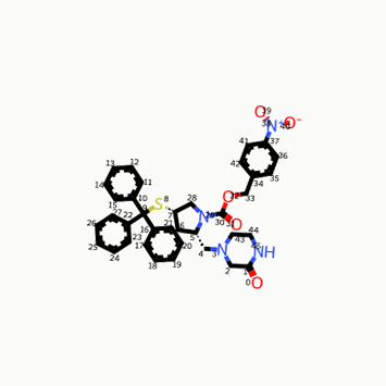 O=C1CN(C[C@@H]2C[C@H](SC(c3ccccc3)(c3ccccc3)c3ccccc3)CN2C(=O)OCc2ccc([N+](=O)[O-])cc2)CCN1